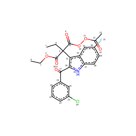 CCOC(=O)C(CC)(C(=O)OOC(C)=O)c1c(C(=O)c2cccc(Cl)c2)[nH]c2ccc(F)cc12